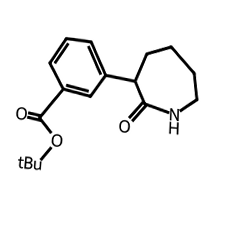 CC(C)(C)OC(=O)c1cccc(C2CCCCNC2=O)c1